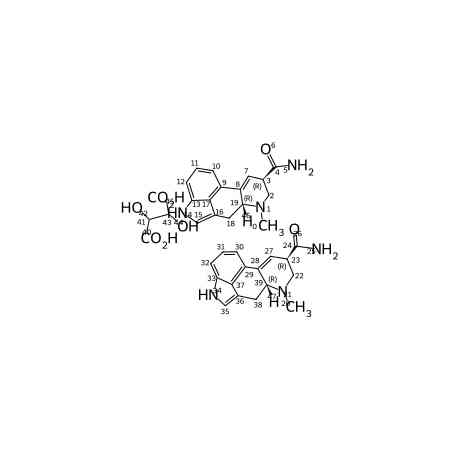 CN1C[C@H](C(N)=O)C=C2c3cccc4[nH]cc(c34)C[C@H]21.CN1C[C@H](C(N)=O)C=C2c3cccc4[nH]cc(c34)C[C@H]21.O=C(O)C(O)C(O)C(=O)O